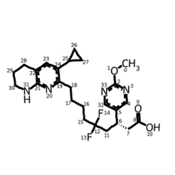 COc1ncc([C@H](CC(=O)O)CC(F)(F)CCCCc2nc3c(cc2C2CC2)CCCN3)cn1